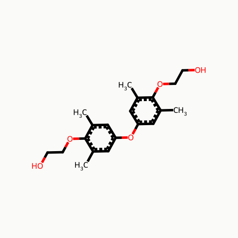 Cc1cc(Oc2cc(C)c(OCCO)c(C)c2)cc(C)c1OCCO